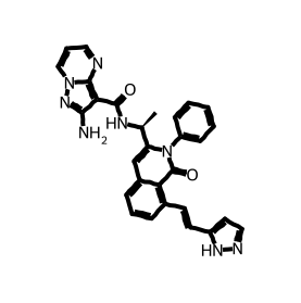 C[C@H](NC(=O)c1c(N)nn2cccnc12)c1cc2cccc(/C=C/c3ccn[nH]3)c2c(=O)n1-c1ccccc1